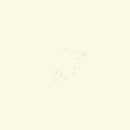 Cc1c(CN2CCC(Nc3ncnc4sc(CC(F)(F)F)cc34)CC2)ccc2c1cc(C#N)n2C[C@](C)([SiH3])N1CCN(S(=O)(=O)CF)CC1